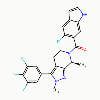 C[C@H]1c2nn(C)c(-c3cc(F)c(F)c(F)c3)c2CCN1C(=O)c1cc2[nH]ccc2cc1F